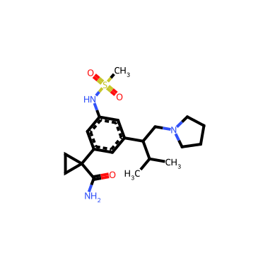 CC(C)C(CN1CCCC1)c1cc(NS(C)(=O)=O)cc(C2(C(N)=O)CC2)c1